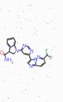 NC(=O)C1CN(c2cc(-c3cnc4ccc(C(F)F)nn34)ncn2)c2ccccc21